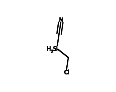 N#C[SiH2]CCl